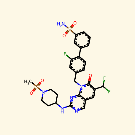 CS(=O)(=O)N1CCC(Nc2ncc3cc(C(F)F)c(=O)n(Cc4ccc(-c5cccc(S(N)(=O)=O)c5)c(F)c4)c3n2)CC1